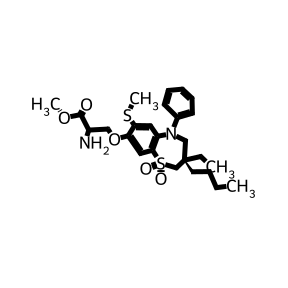 CCCC[C@]1(CC)CN(c2ccccc2)c2cc(SC)c(OCC(N)C(=O)OC)cc2S(=O)(=O)C1